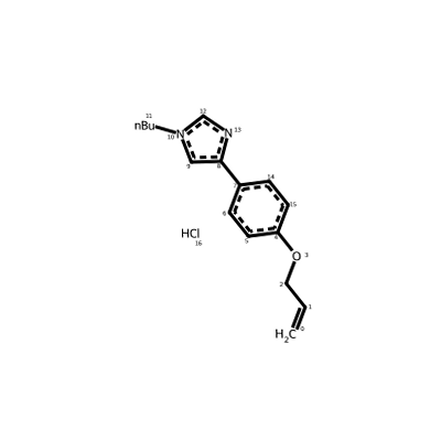 C=CCOc1ccc(-c2cn(CCCC)cn2)cc1.Cl